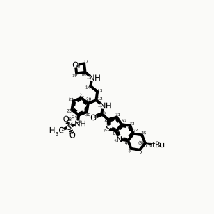 CC(C)(C)[C@H]1CCc2nc3sc(C(=O)NC(CCNC4COC4)c4cccc(NS(C)(=O)=O)c4)cc3cc2C1